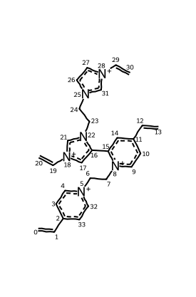 C=Cc1cc[n+](CC[n+]2ccc(C=C)cc2-c2c[n+](C=C)cn2CCn2cc[n+](C=C)c2)cc1